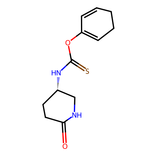 O=C1CC[C@H](NC(=S)OC2=CCCC=C2)CN1